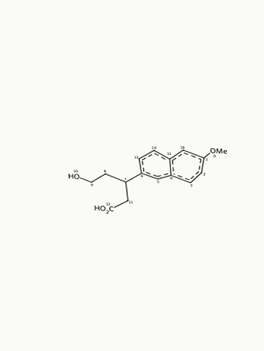 COc1ccc2cc(C(CCO)CC(=O)O)ccc2c1